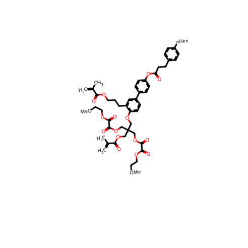 C=C(C)C(=O)OCCCc1cc(-c2ccc(OC(=O)CCc3ccc(CCCCCC)cc3)cc2)ccc1OCC(COC(=O)C(=C)C)(COC(=O)C(=O)OCCOC)COC(=O)C(=O)OCCOC